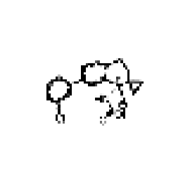 O=C[C@@]1(NC(=O)O)c2cc(-c3cccc(Cl)c3)ccc2CCC12CC2